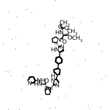 COC(=O)N[C@H](C(=O)N1CCC[C@H]1c1ncc(-c2ccc(-c3ccc(-c4cnc([C@H]5C6CCC(C6)[C@@H]5C(=O)NNc5cccnc5)[nH]4)cc3)cc2)[nH]1)[C@@H](C)OC